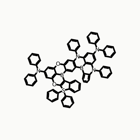 c1ccc(N(c2ccccc2)c2cc3c4c(c2)Oc2cc5c(cc2B4C2=C(O3)S(c3ccccc3)(c3ccccc3)c3ccccc32)B2c3ccccc3N(c3ccccc3)c3cc(N(c4ccccc4)c4ccccc4)cc(c32)N5c2ccccc2)cc1